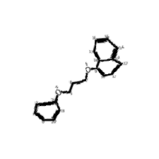 c1ccc(OCCCOc2cccc3ccccc23)cc1